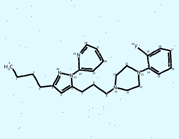 CCCCc1cc(CCCN2CCN(c3ccccc3F)CC2)n(-c2ccccn2)n1